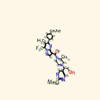 COc1ccc(-c2nc3c(C(=O)N4CCN([C@@H](CO)c5cnc(OC)nc5)C[C@H]4C)cnn3c(C(F)(F)F)c2C)cc1